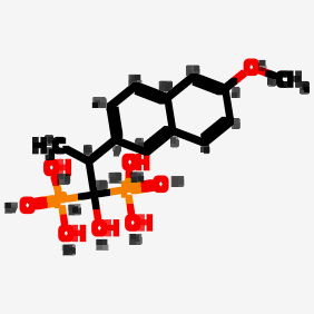 COc1ccc2cc(C(C)C(O)(P(=O)(O)O)P(=O)(O)O)ccc2c1